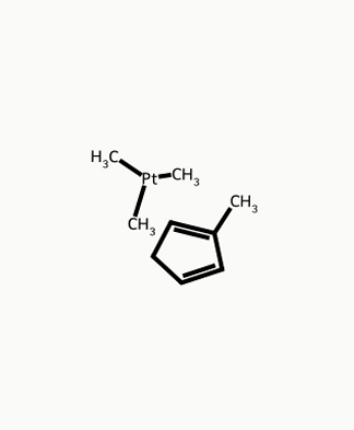 CC1=CCC=C1.[CH3][Pt]([CH3])[CH3]